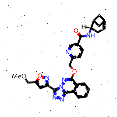 COCc1cc(-c2nnc3c4ccccc4c(OCc4ccc(C(=O)N[C@H]5CC=C6CC5C6)cn4)nn23)no1